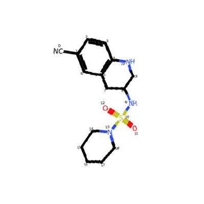 N#Cc1ccc2c(c1)CC(NS(=O)(=O)N1CCCCC1)CN2